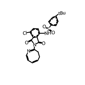 CC(C)(C)c1ccc(S(=O)(=O)Nc2ccc(Cl)c3c2C(=O)N(/C2=N/C=C\C=C/CC2)C3=O)cc1